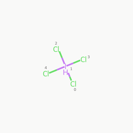 Cl[IH](Cl)(Cl)Cl